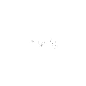 C=CS(=O)(=O)NC[C@H]1CCN(S(=O)(=O)c2ccc(C(=O)N(CC)Cc3cccnc3)cc2)C1